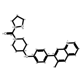 Cc1cc2cccnc2cc1-c1ccc(OC2CCN(C(=O)N3CCCO3)CC2)cc1